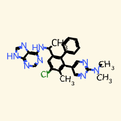 Cc1c(Cl)cc(C(C)Nc2ncnc3[nH]cnc23)c(-c2ccccc2)c1-c1cnc(N(C)C)nc1